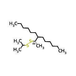 CCCCCCC(CCCCCC)[C@H](C)SSC(C)C